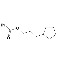 CC(C)C(=O)OCCCC1CCCC1